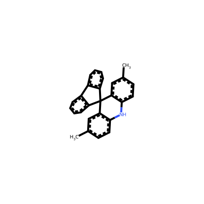 Cc1ccc2c(c1)C1(c3cc(C)ccc3N2)c2ccccc2-c2ccccc21